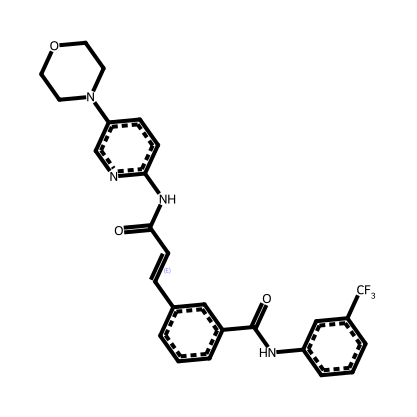 O=C(/C=C/c1cccc(C(=O)Nc2cccc(C(F)(F)F)c2)c1)Nc1ccc(N2CCOCC2)cn1